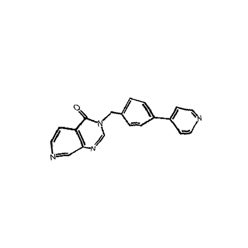 O=c1c2ccncc2ncn1Cc1ccc(-c2ccncc2)cc1